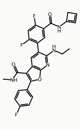 CCNc1nc2oc(-c3ccc(F)cc3)c(C(=O)NC)c2cc1-c1cc(C(=O)NC2=C=CC2)c(F)cc1F